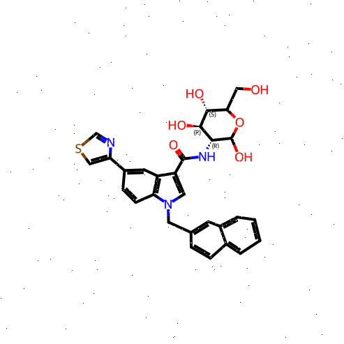 O=C(N[C@H]1C(O)OC(CO)[C@@H](O)[C@@H]1O)c1cn(Cc2ccc3ccccc3c2)c2ccc(-c3cscn3)cc12